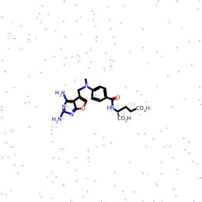 CN(Cc1coc2nc(N)nc(N)c12)c1ccc(C(=O)N[C@@H](CCC(=O)O)C(=O)O)cc1